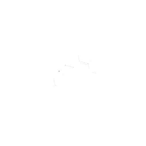 CCOC(C)(C)CC/C(C)=C(/C)OS